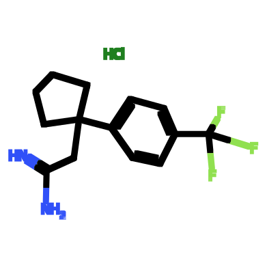 Cl.N=C(N)CC1(c2ccc(C(F)(F)F)cc2)CCCC1